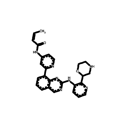 C/C=C\C(=O)Nc1ccnc(-c2cccc3cnc(Nc4cccnc4C4CNCCO4)nc23)c1